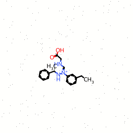 CCc1cccc([N+](=CNCC(=O)O)N[C@@H](C)c2ccccc2)c1